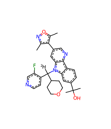 [2H]C(c1ccncc1F)(C1CCOCC1)n1c2cc(C(C)(C)O)ccc2c2ncc(-c3c(C)noc3C)cc21